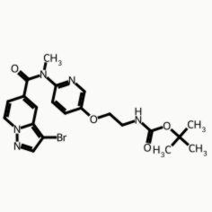 CN(C(=O)c1ccn2ncc(Br)c2c1)c1ccc(OCCNC(=O)OC(C)(C)C)cn1